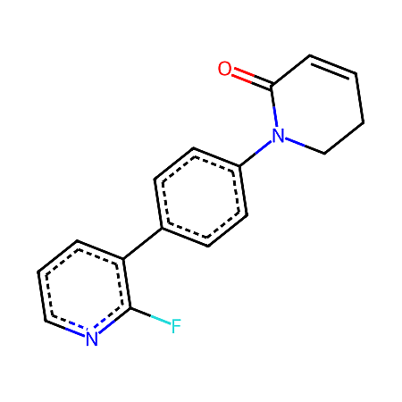 O=C1C=CCCN1c1ccc(-c2cccnc2F)cc1